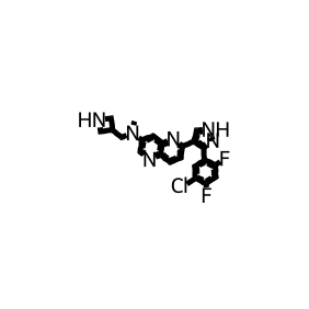 CN(CC1CNC1)c1cnc2ccc(-c3c[nH]nc3-c3cc(Cl)c(F)cc3F)nc2c1